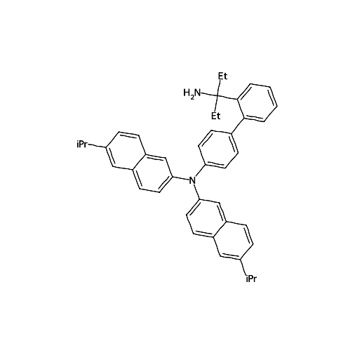 CCC(N)(CC)c1ccccc1-c1ccc(N(c2ccc3cc(C(C)C)ccc3c2)c2ccc3cc(C(C)C)ccc3c2)cc1